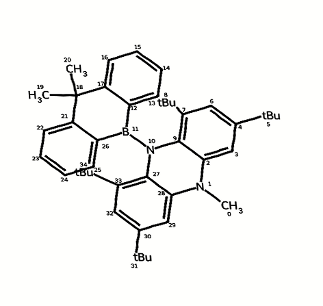 CN1c2cc(C(C)(C)C)cc(C(C)(C)C)c2N(B2c3ccccc3C(C)(C)c3ccccc32)c2c1cc(C(C)(C)C)cc2C(C)(C)C